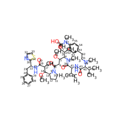 CCC(C)C(C(CC(=O)N1CCC[C@H]1C(OC)C(C)C(=O)NC(Cc1ccccc1)c1nccs1)OC)N(C)C(=O)C(NC(=O)C(C(C)C)N(C)CCc1ccc(N(C)C(=O)O)cc1)C(C)C